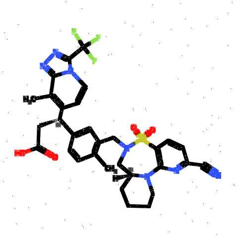 Cc1ccc([C@H](CC(=O)O)c2ccn3c(C(F)(F)F)nnc3c2C)cc1CN1C[C@@H]2CCCCN2c2nc(C#N)ccc2S1(=O)=O